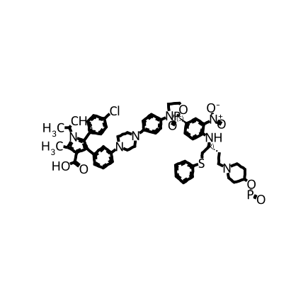 Cc1c(C(=O)O)c(-c2cccc(N3CCN(c4ccc(N5CCO[P@@]5(=O)c5ccc(N[C@H](CCN6CCC(OP=O)CC6)CSc6ccccc6)c([N+](=O)[O-])c5)cc4)CC3)c2)c(-c2ccc(Cl)cc2)n1C(C)C